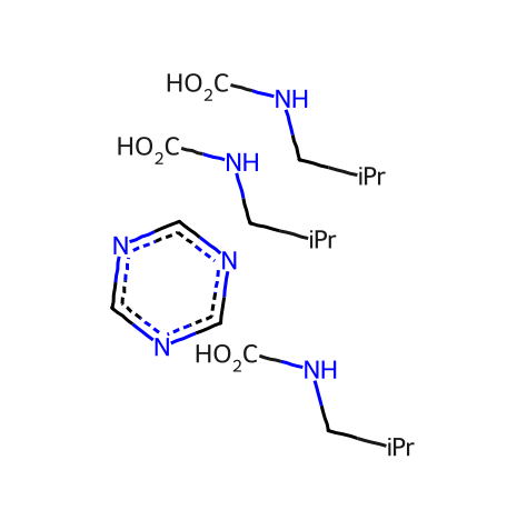 CC(C)CNC(=O)O.CC(C)CNC(=O)O.CC(C)CNC(=O)O.c1ncncn1